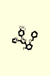 Cc1ccc(-n2nc(-c3c(F)cccc3OCc3ccccc3)cc2-n2cccn2)cc1